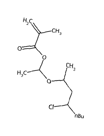 C=C(C)C(=O)OC(C)OC(C)CC(Cl)CCCC